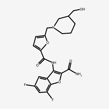 NC(=O)c1oc2c(F)cc(F)cc2c1NC(=O)c1ccc(CN2CCCC(CO)C2)o1